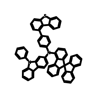 c1ccc(-n2c3ccccc3c3ccc(N(c4ccc(-c5cccc6sc7ccccc7c56)cc4)c4cccc5c4-c4ccccc4C54c5ccccc5-c5ccccc54)cc32)cc1